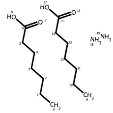 CCCCCCC(=O)O.CCCCCCC(=O)O.N.N